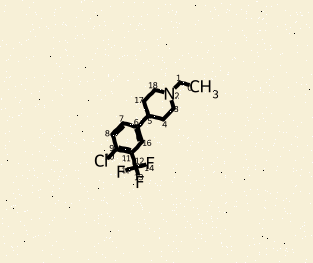 CCN1CCC(c2ccc(Cl)c(C(F)(F)F)c2)CC1